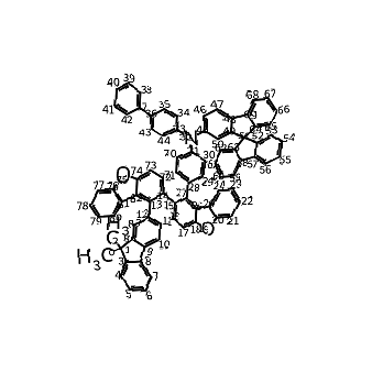 CC1(C)c2ccccc2-c2ccc(-c3c(-c4ccc5oc6ccccc6c5c4-c4ccc(N(c5ccc(-c6ccccc6)cc5)c5ccc6c(c5)C5(c7ccccc7-c7ccccc75)c5ccccc5-6)cc4)ccc4oc5ccccc5c34)cc21